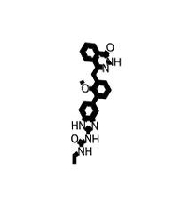 CCNC(=O)Nc1nc2cc(-c3cccc(Cc4n[nH]c(=O)c5ccccc45)c3OC)ccc2[nH]1